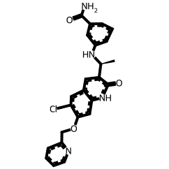 C[C@H](Nc1cccc(C(N)=O)c1)c1cc2cc(Cl)c(OCc3ccccn3)cc2[nH]c1=O